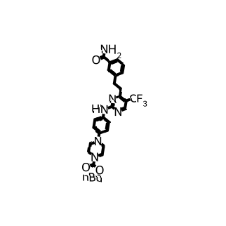 CCCCOC(=O)N1CCN(c2ccc(Nc3ncc(C(F)(F)F)c(CCc4cccc(C(N)=O)c4)n3)cc2)CC1